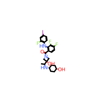 CC(N[C@H]1CC[C@H](O)CC1)C1(O)CN(C(=O)c2ccc(F)c(F)c2Nc2ccc(I)cc2F)C1